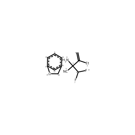 C=C(CC)C(N)(C#N)C(F)F.c1cc2cc(c1)OC2